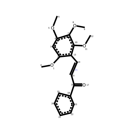 COc1cc(OC)c(OC)c(OC)c1/C=C/C(=O)c1ccccc1